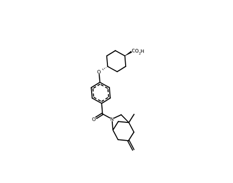 C=C1CC2CC(C)(C1)CN2C(=O)c1ccc(O[C@H]2CC[C@H](C(=O)O)CC2)cc1